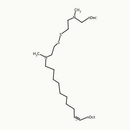 CCCCCCCC/C=C\CCCCCCCCN(C)CCSSCCN(C)CCCCCCCCCCC